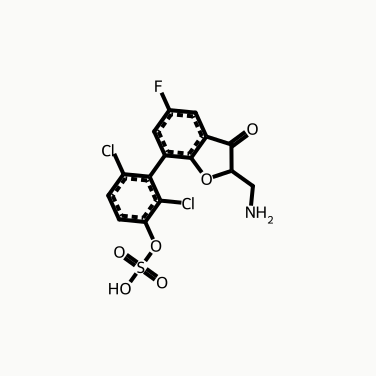 NCC1Oc2c(cc(F)cc2-c2c(Cl)ccc(OS(=O)(=O)O)c2Cl)C1=O